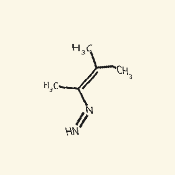 CC(C)=C(C)N=N